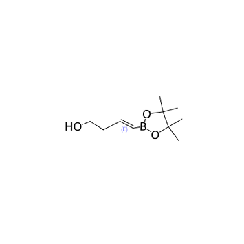 CC1(C)OB(/C=C/CCO)OC1(C)C